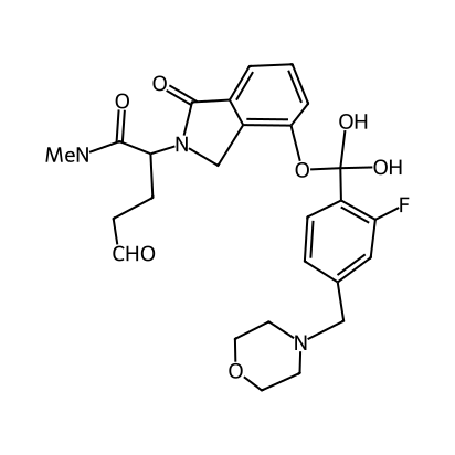 CNC(=O)C(CCC=O)N1Cc2c(OC(O)(O)c3ccc(CN4CCOCC4)cc3F)cccc2C1=O